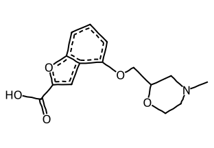 CN1CCOC(COc2cccc3oc(C(=O)O)cc23)C1